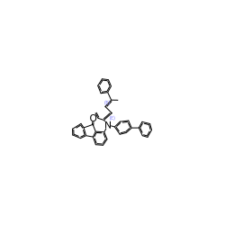 C=C/C(=C\C=C(/C)c1ccccc1)N(c1ccc(-c2ccccc2)cc1)c1cccc2c1C(=O)c1ccccc1-2